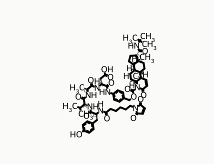 CC(C)[C@H](NC(=O)[C@H](Cc1ccc(O)cc1)NC(=O)CCCCCN1C(=O)C=CC1=O)C(=O)N[C@@H](C)C(=O)N[C@@H](CC(=O)O)C(=O)Nc1ccc(COC(=O)N2C(=O)C=C[C@]3(C)[C@H]4CC[C@]5(C)[C@@H](C(=O)NC(C)(C)C)CC[C@H]5[C@@H]4CC[C@@H]23)cc1